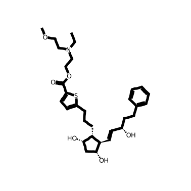 CCN(CCOC)CCOC(=O)c1ccc(CCC[C@@H]2[C@@H](/C=C/[C@@H](O)CCc3ccccc3)[C@H](O)C[C@@H]2O)s1